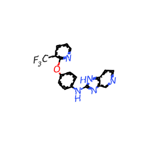 FC(F)(F)c1cccnc1Oc1ccc(Nc2nc3cnccc3[nH]2)cc1